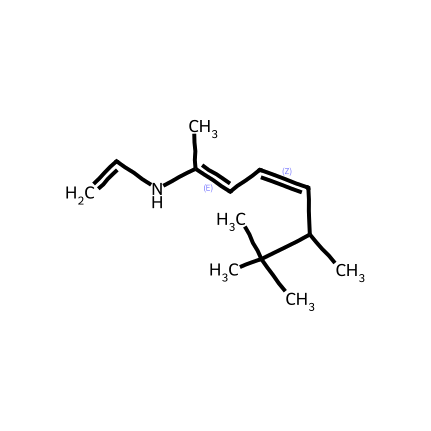 C=CN/C(C)=C/C=C\C(C)C(C)(C)C